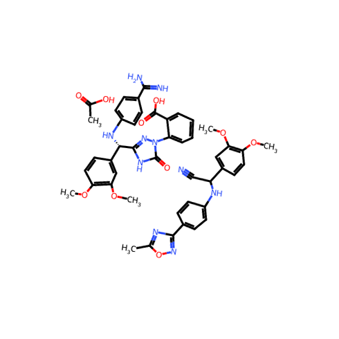 CC(=O)O.COc1ccc(C(C#N)Nc2ccc(-c3noc(C)n3)cc2)cc1OC.COc1ccc([C@H](Nc2ccc(C(=N)N)cc2)c2nn(-c3ccccc3C(=O)O)c(=O)[nH]2)cc1OC